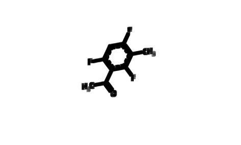 CC(=O)c1c(F)cc(F)c(C)c1F